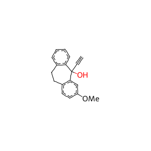 C#CC1(O)c2ccccc2CCc2ccc(OC)cc21